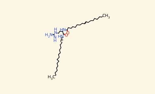 CCCCCCCCC=CCCCCCCCC(=O)NC(CCNC(=N)N)C(=O)NCCCCCCCCCCCCCCCCCC